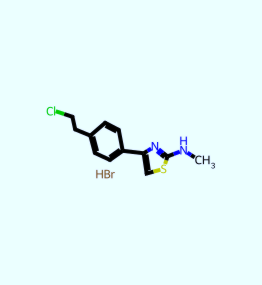 Br.CNc1nc(-c2ccc(CCCl)cc2)cs1